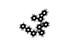 c1ccc(-c2ccc(-c3cccc(-n4c5ccccc5c5c6c7ccccc7n(-c7cc(-c8ccccc8)c8c(c7)-c7ccccc7C8)c6ccc54)c3)cc2)cc1